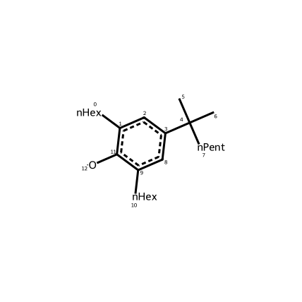 CCCCCCc1cc(C(C)(C)CCCCC)cc(CCCCCC)c1[O]